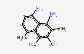 Cc1c(C)c(N)c2c(N)ccc(C)c2c1C